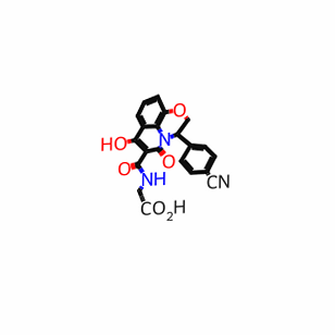 N#Cc1ccc(C2COc3cccc4c(O)c(C(=O)NCC(=O)O)c(=O)n2c34)cc1